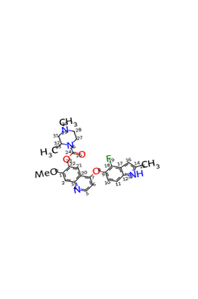 COc1cc2nccc(Oc3ccc4[nH]c(C)cc4c3F)c2cc1OC(=O)N1CCN(C)CC1C